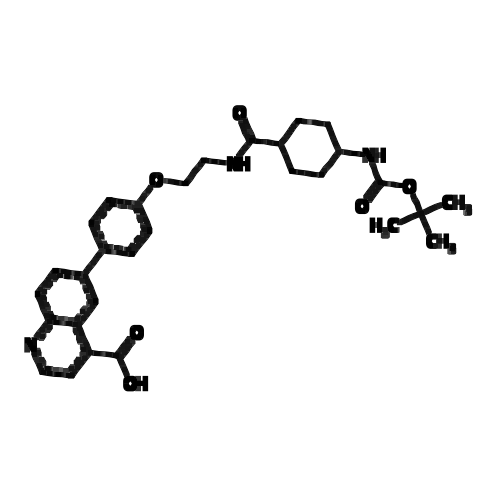 CC(C)(C)OC(=O)NC1CCC(C(=O)NCCOc2ccc(-c3ccc4nccc(C(=O)O)c4c3)cc2)CC1